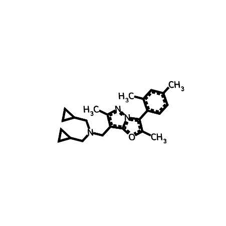 Cc1ccc(-c2c(C)oc3c(CN(CC4CC4)CC4CC4)c(C)nn23)c(C)c1